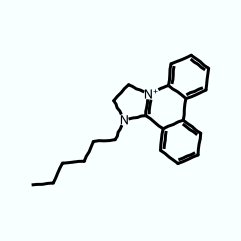 CCCCCCN1CC[n+]2c1c1ccccc1c1ccccc12